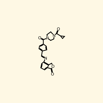 O=C1OCc2c(N=Cc3ccc(C(=O)N4CCN(C(=O)C5CC5)CC4)cc3)cccc21